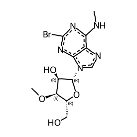 CNc1nc(Br)nc2c1ncn2[C@@H]1O[C@H](CO)[C@@H](OC)[C@H]1O